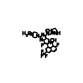 C#Cc1c(F)ccc2cc(C(F)(F)F)cc(-c3ncc4c(N(C)C[C@H]5CCCN5)nc(N5CCN(C)CC5)nc4c3F)c12